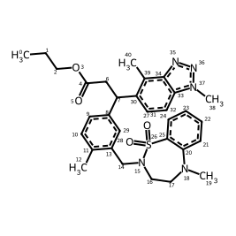 CCCOC(=O)CC(c1ccc(C)c(CN2CCN(C)c3ccccc3S2(=O)=O)c1)c1ccc2c(nnn2C)c1C